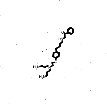 NCCCN(CCCN)CCOc1ccc(CCCCNCC(=O)c2ccccc2)cc1